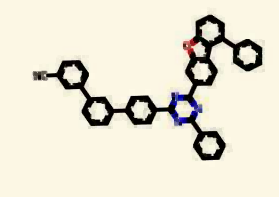 N#Cc1cccc(-c2cccc(-c3ccc(-c4nc(-c5ccccc5)nc(-c5ccc6c(c5)oc5cccc(-c7ccccc7)c56)n4)cc3)c2)c1